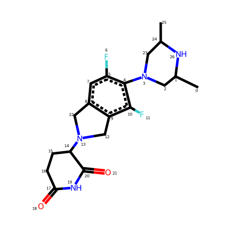 CC1CN(c2c(F)cc3c(c2F)CN(C2CCC(=O)NC2=O)C3)CC(C)N1